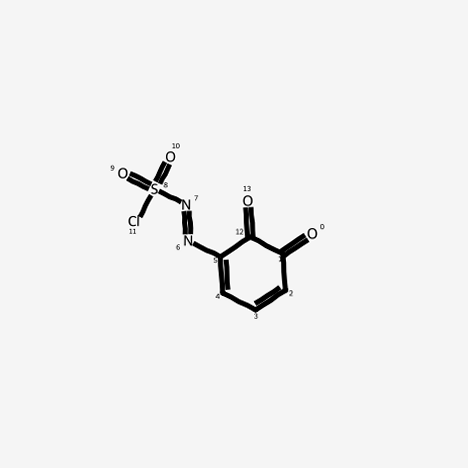 O=C1C=CC=C(N=NS(=O)(=O)Cl)C1=O